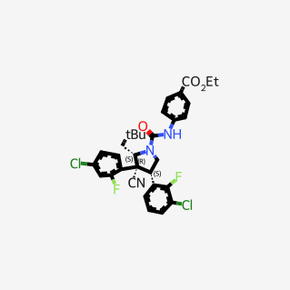 CCOC(=O)c1ccc(NC(=O)N2C[C@H](c3cccc(Cl)c3F)[C@@](C#N)(c3ccc(Cl)cc3F)[C@@H]2CC(C)(C)C)cc1